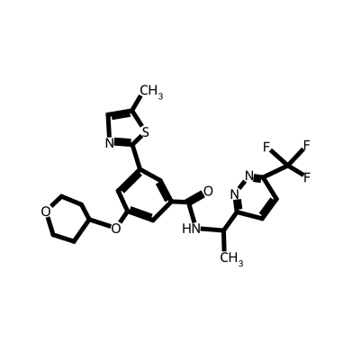 Cc1cnc(-c2cc(OC3CCOCC3)cc(C(=O)NC(C)c3ccc(C(F)(F)F)nn3)c2)s1